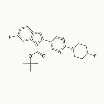 CC(C)(C)OC(=O)n1c(-c2cnc(N3CCC(F)CC3)nc2)cc2ccc(F)cc21